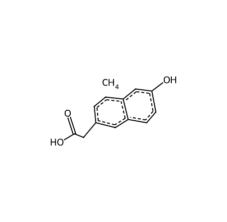 C.O=C(O)Cc1ccc2cc(O)ccc2c1